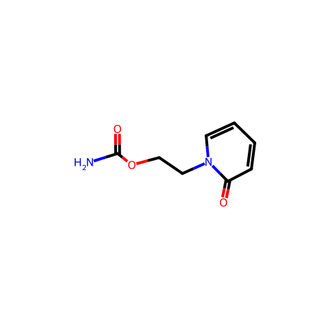 NC(=O)OCCn1ccccc1=O